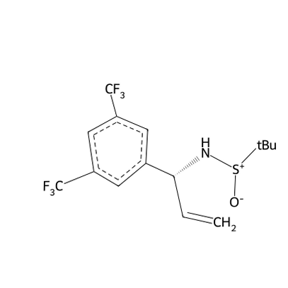 C=C[C@@H](N[S+]([O-])C(C)(C)C)c1cc(C(F)(F)F)cc(C(F)(F)F)c1